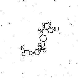 CN(C)C(=O)CO[C@@H]1CCN(S(=O)(=O)CC2CCC(N(C)c3ncnc4[nH]ccc34)CC2)C1